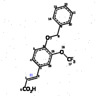 O=C(O)/C=C/c1ccc(OCc2ccccc2)c(OC(F)(F)F)c1